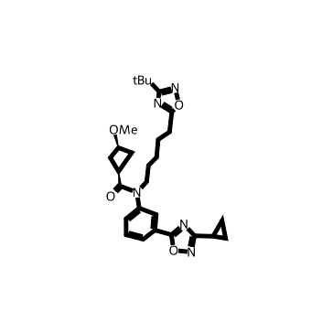 CO[C@H]1C[C@@H](C(=O)N(CCCCCc2nc(C(C)(C)C)no2)c2cccc(-c3nc(C4CC4)no3)c2)C1